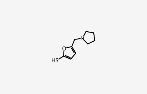 Sc1ccc(CN2CCCC2)o1